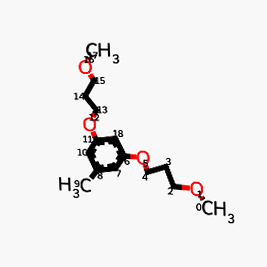 COCCCOc1cc(C)cc(OCCCOC)c1